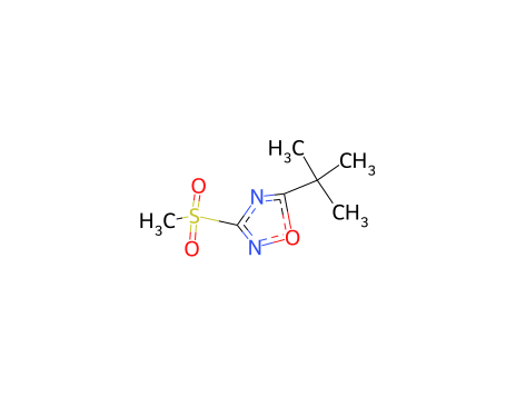 CC(C)(C)c1nc(S(C)(=O)=O)no1